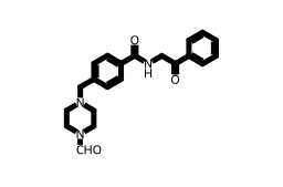 O=CN1CCN(Cc2ccc(C(=O)NCC(=O)c3ccccc3)cc2)CC1